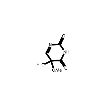 COC1(C)C=NC(=O)NC1=O